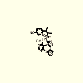 COc1ncnc(OC)c1-n1c(NS(=O)(=O)C(C)C(C)c2ccc(C#N)cn2)nnc1[C@H]1CCOC1